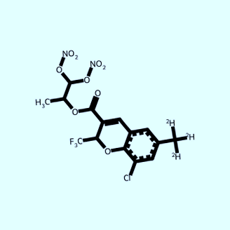 [2H]C([2H])([2H])c1cc(Cl)c2c(c1)C=C(C(=O)OC(C)C(O[N+](=O)[O-])O[N+](=O)[O-])C(C(F)(F)F)O2